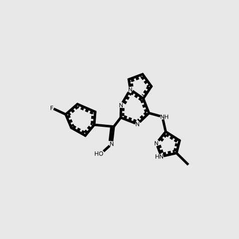 Cc1cc(Nc2nc(C(=NO)c3ccc(F)cc3)nn3cccc23)n[nH]1